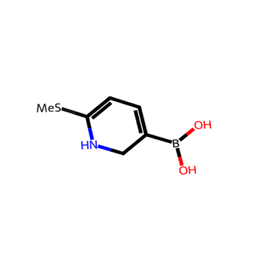 CSC1=CC=C(B(O)O)CN1